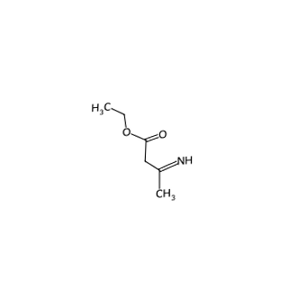 CCOC(=O)CC(C)=N